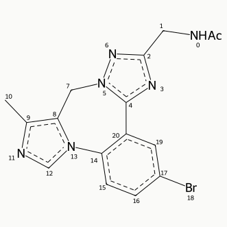 CC(=O)NCc1nc2n(n1)Cc1c(C)ncn1-c1ccc(Br)cc1-2